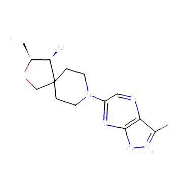 C[C@@H]1OCC2(CCN(c3cnc4c(Br)n[nH]c4n3)CC2)[C@@H]1N